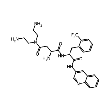 NCCN(CCN)C(=O)C[C@H](N)C(=O)N[C@@H](Cc1ccccc1C(F)(F)F)C(=O)Nc1cnc2ccccc2c1